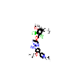 COc1cc(Nc2ncc(OCc3c(Cl)c(C)cc(OC)c3Cl)cn2)ccc1C1CCN(C)CC1